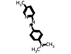 Cc1ccc(N=Nc2ccc(N(C)C)cc2)nc1